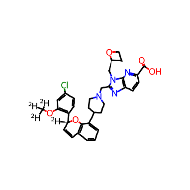 [2H]C([2H])([2H])Oc1cc(Cl)ccc1[C@@]1([2H])C=Cc2cccc(C3CCN(Cc4nc5ccc(C(=O)O)nc5n4C[C@@H]4CCO4)CC3)c2O1